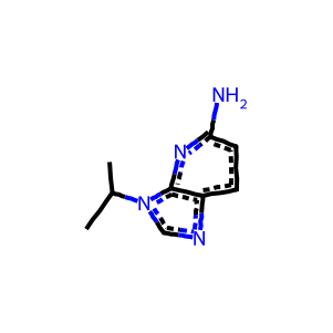 CC(C)n1cnc2ccc(N)nc21